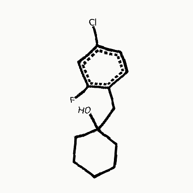 OC1(Cc2ccc(Cl)cc2F)CCCCC1